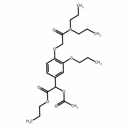 CCCOC(=O)C(OC(C)=O)c1ccc(OCC(=O)N(CCC)CCC)c(OCCC)c1